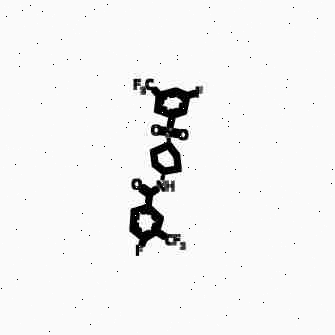 O=C(N[C@H]1CC[C@@H](S(=O)(=O)c2cc(F)cc(C(F)(F)F)c2)CC1)c1ccc(F)c(C(F)(F)F)c1